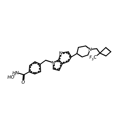 O=C(NO)c1ccc(Cn2ccc3cc(C4CCN(CC5(C(F)(F)F)CCC5)CC4)cnc32)cc1